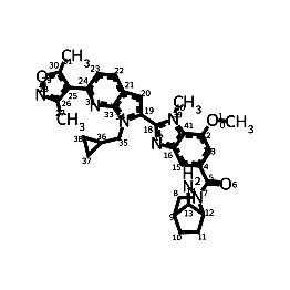 COc1cc(C(=O)N2CC3CCC2C3N)cc2nc(-c3cc4ccc(-c5c(C)noc5C)nc4n3CC3CC3)n(C)c12